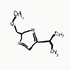 CO[C]1N=CC(C(C)C)=N1